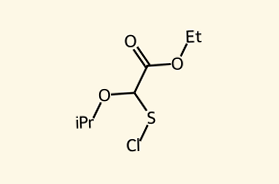 CCOC(=O)C(OC(C)C)SCl